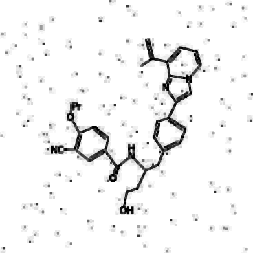 C=C(C)c1cccn2cc(-c3ccc(CC(CCO)NC(=O)c4ccc(OC(C)C)c(C#N)c4)cc3)nc12